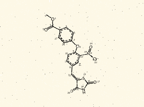 COC(=O)c1ccc(Oc2ccc(/C=C3\SC(=O)NC3=O)cc2[N+](=O)[O-])cc1